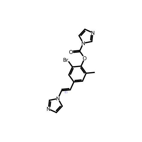 Cc1cc(/C=C/n2ccnc2)cc(Br)c1OC(=O)n1ccnc1